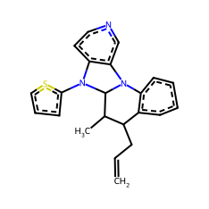 C=CCC1c2ccccc2N2c3cnccc3N(c3cccs3)C2C1C